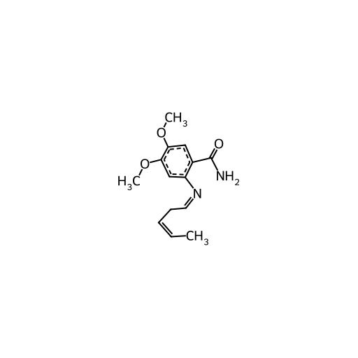 C/C=C\C/C=N\c1cc(OC)c(OC)cc1C(N)=O